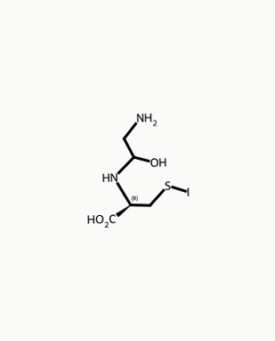 NCC(O)N[C@@H](CSI)C(=O)O